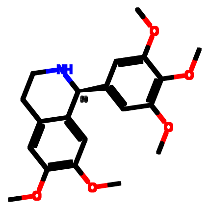 COc1cc2c(cc1OC)[C@H](c1cc(OC)c(OC)c(OC)c1)NCC2